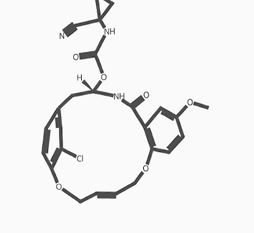 COc1ccc2c(c1)C(=O)N[C@@H](OC(=O)NC1(C#N)CC1)Cc1ccc(c(Cl)c1)OC/C=C/CO2